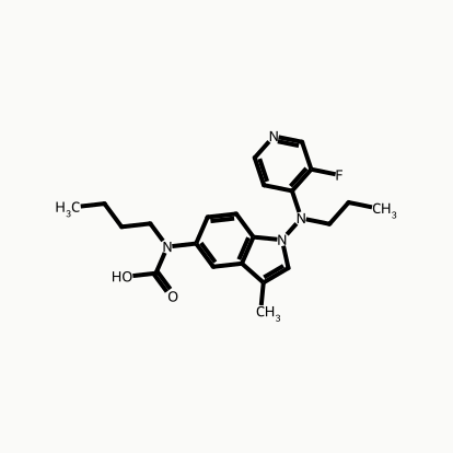 CCCCN(C(=O)O)c1ccc2c(c1)c(C)cn2N(CCC)c1ccncc1F